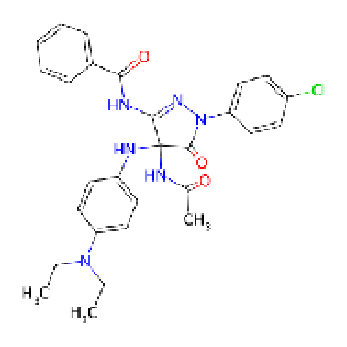 CCN(CC)c1ccc(NC2(NC(C)=O)C(=O)N(c3ccc(Cl)cc3)N=C2NC(=O)c2ccccc2)cc1